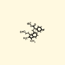 CCOCCn1c(C)c(C)c2ccnc(CN(C(=O)OC(C)(C)C)c3ccc(F)cc3)c21